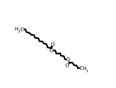 CCCCCCCCCCCCCC(=O)OCCCCCCOC(=O)CCCCC